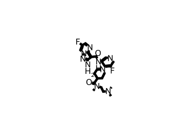 CN(C)CCN(C)C(=O)C1CCN(c2c(F)cncc2NC(=O)c2c(N)nn3cc(F)cnc23)CC1